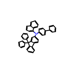 c1ccc(-c2ccc(N(c3ccc4c(c3)C(c3ccccc3)(c3ccccc3)c3ccccc3-4)c3cccc4ccccc34)cc2)cc1